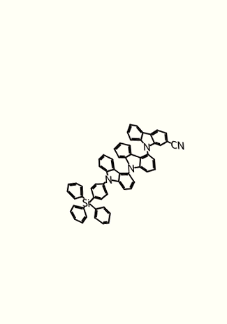 N#Cc1ccc2c3ccccc3n(-c3cccc4c3c3ccccc3n4-c3cccc4c3c3ccccc3n4-c3ccc([Si](c4ccccc4)(c4ccccc4)c4ccccc4)cc3)c2c1